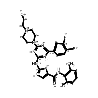 Cc1cccc(Cl)c1NC(=O)c1cnc(Nc2nc(-c3ccc(F)c(F)c3)nc(N3CCN(CCO)CC3)n2)s1